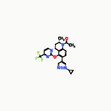 CC(=O)N1c2ccc(/C(C=N)=C/NC3CC3)c(Oc3nccc(C(F)(F)F)n3)c2CC[C@@H]1C